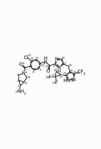 NC1C2CN(C(=O)c3ccc(NC(=O)c4ncc(Cc5c(C(F)(F)F)n[nH]c5[C@@H]5CC5(F)F)[nH]4)cc3Cl)CC12